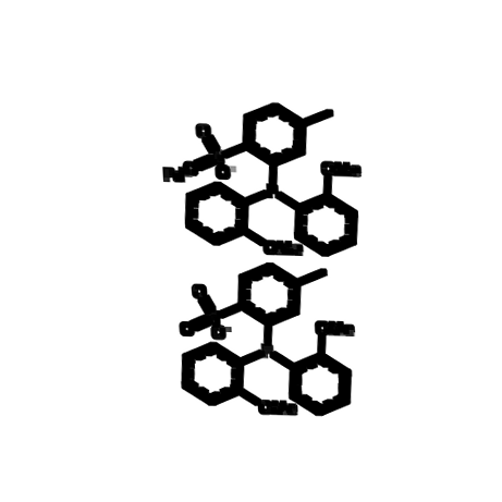 COc1ccccc1P(c1ccccc1OC)c1cc(C)ccc1S(=O)(=O)[O-].COc1ccccc1P(c1ccccc1OC)c1cc(C)ccc1S(=O)(=O)[O-].[Pd+2]